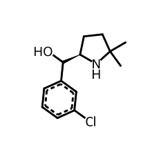 CC1(C)CC[C@H](C(O)c2cccc(Cl)c2)N1